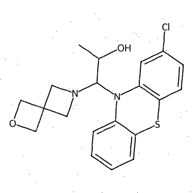 CC(O)C(N1CC2(COC2)C1)N1c2ccccc2Sc2ccc(Cl)cc21